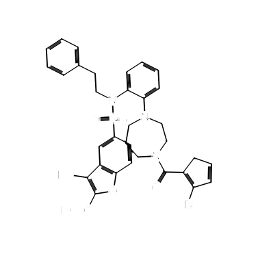 Cc1c(C(=O)O)oc2ccc(S(=O)(=O)N(CCc3ccccc3)c3ccccc3N3CCCN(C(=O)C4=C(Br)C=CC4)CC3)cc12